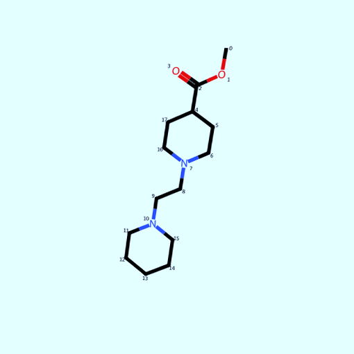 COC(=O)C1CCN(CCN2CCCCC2)CC1